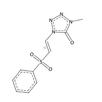 Cn1nnn(/C=C/S(=O)(=O)c2ccccc2)c1=O